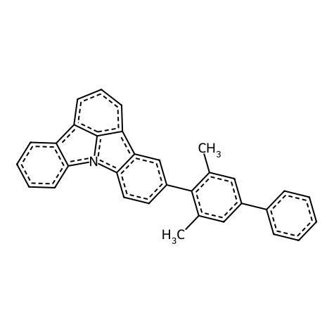 Cc1cc(-c2ccccc2)cc(C)c1-c1ccc2c(c1)c1cccc3c4ccccc4n2c31